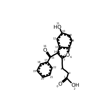 O=C(O)CCc1oc2ccc(O)cc2c1C(=O)c1ccccc1